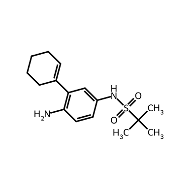 CC(C)(C)S(=O)(=O)Nc1ccc(N)c(C2=CCCCC2)c1